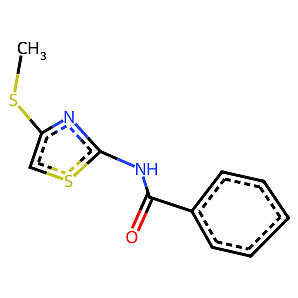 CSc1csc(NC(=O)c2ccccc2)n1